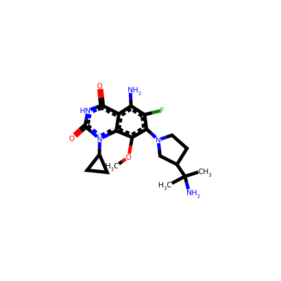 COc1c(N2CCC(C(C)(C)N)C2)c(F)c(N)c2c(=O)[nH]c(=O)n(C3CC3)c12